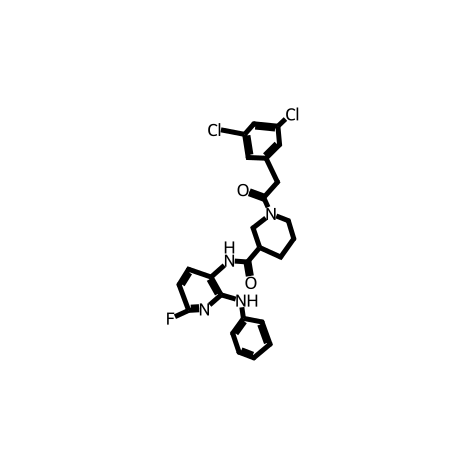 O=C(Nc1ccc(F)nc1Nc1ccccc1)C1CCCN(C(=O)Cc2cc(Cl)cc(Cl)c2)C1